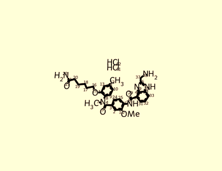 COc1cc(C(=O)N(C)c2ccc(C)cc2OCCCCCC(N)=O)ccc1NC(=O)c1cccc2[nH]c(CN)nc12.Cl.Cl